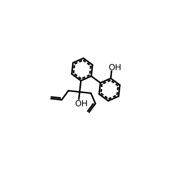 C=CCC(O)(CC=C)c1ccccc1-c1ccccc1O